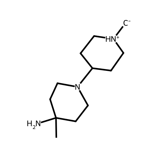 [CH2-][NH+]1CCC(N2CCC(C)(N)CC2)CC1